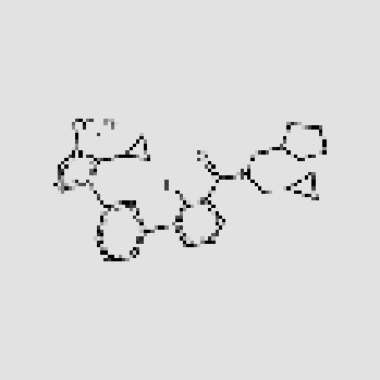 CCOC(=O)c1cnn(-c2cccc(-c3cccc(C(=O)N(CC4CCCC4)CC4CC4)c3F)c2)c1C1CC1